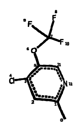 Cc1cc(Cl)c(OC(F)(F)F)cn1